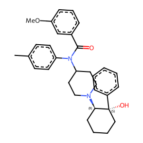 COc1cccc(C(=O)N(c2ccc(C)cc2)C2CCN([C@@H]3CCCC[C@]3(O)c3ccccc3)CC2)c1